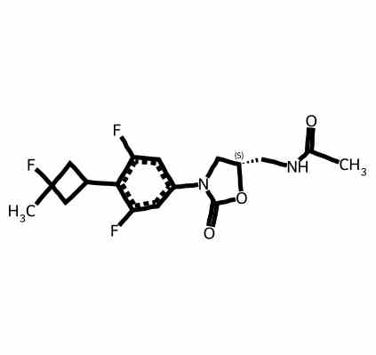 CC(=O)NC[C@H]1CN(c2cc(F)c(C3CC(C)(F)C3)c(F)c2)C(=O)O1